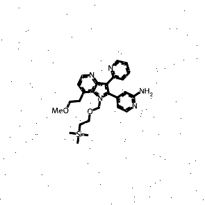 COCCc1ccnc2c(-c3ccccn3)c(-c3ccnc(N)c3)n(COCC[Si](C)(C)C)c12